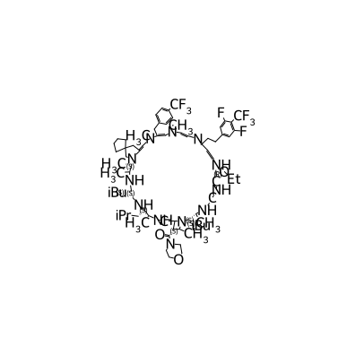 CCO[C@@H]1CNCCNC(C)[C@H]([C@@H](C)CC)N2C(C)[C@H](C(=O)N3CCOCC3)C2CNC(C)[C@H](CC(C)C)NC[C@H]([C@@H](C)CC)NC(C)[C@H](C)N2CC3(CCCC3)CC2=CN(C)C(Cc2ccc(C(F)(F)F)cc2)=CN(C)C=CN=C(CCc2cc(F)c(C(F)(F)F)c(F)c2)C=CN1